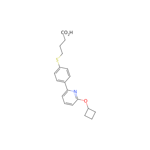 O=C(O)CCCSc1ccc(-c2cccc(OC3CCC3)n2)cc1